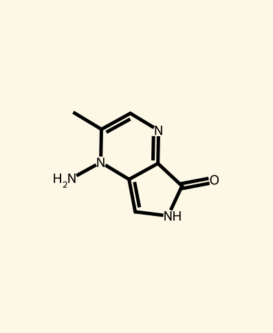 Cc1cnc2c(=O)[nH]cc-2n1N